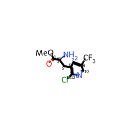 COC(=O)[C@@H](N)Cc1cc(C(F)(F)F)cnc1Cl